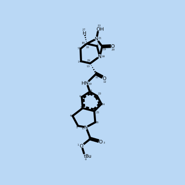 CC(C)(C)OC(=O)N1CCc2cc(NC(=O)[C@@H]3CC[C@@H]4CN3C(=O)N4O)ccc2C1